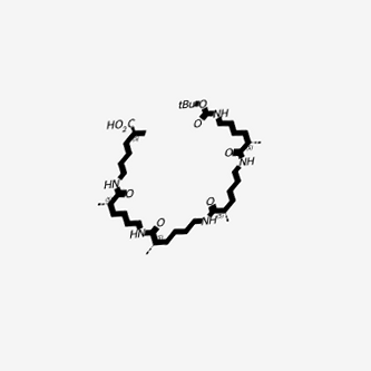 C[C@@H](CCCCNC(=O)[C@@H](C)CCCCNC(=O)[C@@H](C)CCCCNC(=O)[C@@H](C)CCCCNC(=O)[C@@H](C)CCCCNC(=O)OC(C)(C)C)C(=O)O